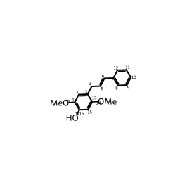 COc1cc(CC=Cc2ccccc2)c(OC)cc1O